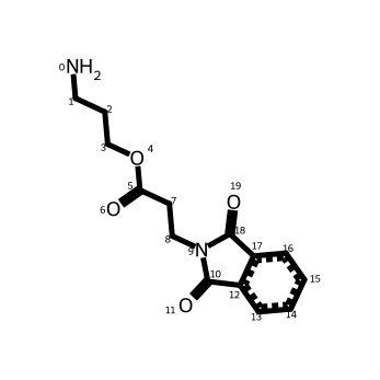 NCCCOC(=O)CCN1C(=O)c2ccccc2C1=O